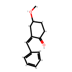 COC1CCC(=O)/C(=C\c2ccccc2)C1